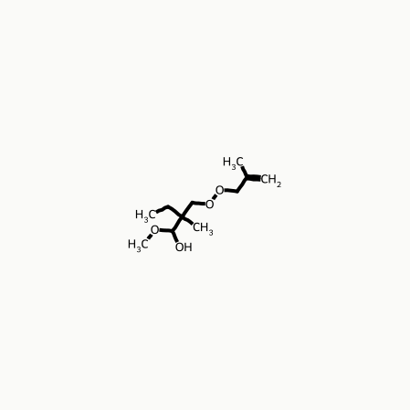 C=C(C)COOCC(C)(CC)C(O)OC